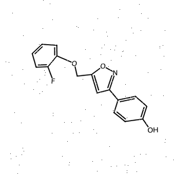 Oc1ccc(-c2cc(COc3ccccc3F)on2)cc1